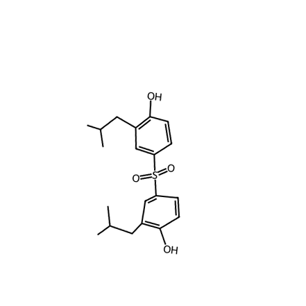 CC(C)Cc1cc(S(=O)(=O)c2ccc(O)c(CC(C)C)c2)ccc1O